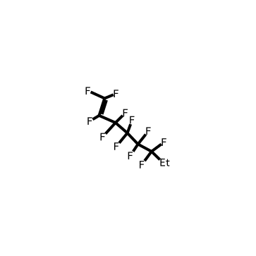 CCC(F)(F)C(F)(F)C(F)(F)C(F)(F)C(F)=C(F)F